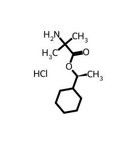 C[C@H](OC(=O)C(C)(C)N)C1CCCCC1.Cl